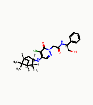 C[C@@H]1[C@H]2C[C@@H](C[C@H]1Nc1cnn(CC(=O)N[C@H](CO)c3ccccc3)c(=O)c1Cl)C2(C)C